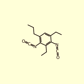 CCCc1cc(CC)c(N=C=O)c(CC)c1N=C=O